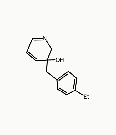 CCc1ccc(CC2(O)C=CC=NC2)cc1